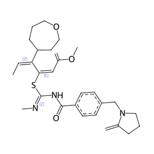 C=C(/C=C(S/C(=N\C)NC(=O)c1ccc(CN2CCCC2=C)cc1)\C(=C/C)C1CCCOCC1)OC